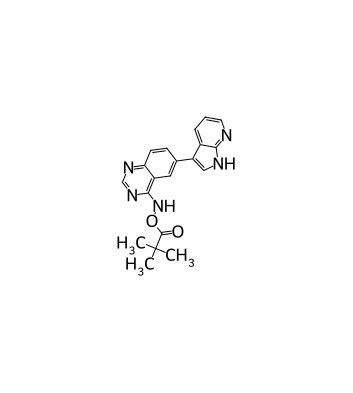 CC(C)(C)C(=O)ONc1ncnc2ccc(-c3c[nH]c4ncccc34)cc12